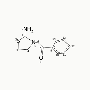 NC1SCCN1CC(=O)c1ccccc1